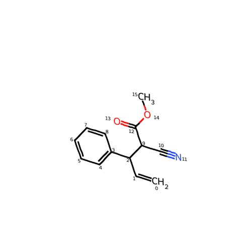 C=CC(c1ccccc1)C(C#N)C(=O)OC